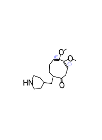 COC1=C/CCC(CC2CCNCC2)C(=O)C/C=C\1OC